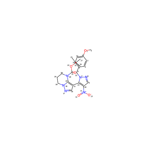 COc1ccc(Cn2ncc([N+](=O)[O-])c2-c2cnn3c2N(C(=O)OC(C)(C)C)CCC3)cc1